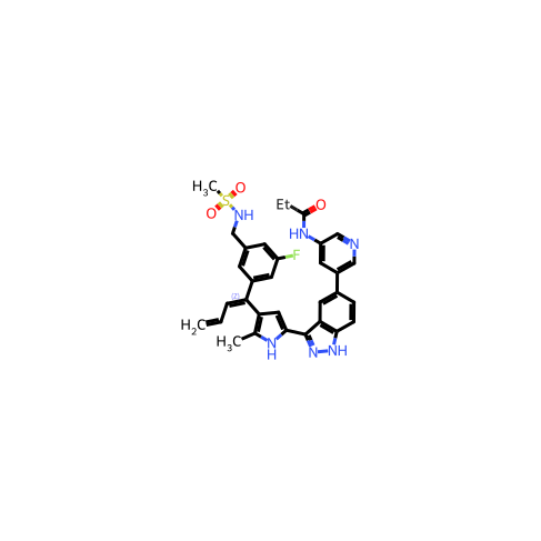 C=C/C=C(/c1cc(F)cc(CNS(C)(=O)=O)c1)c1cc(-c2n[nH]c3ccc(-c4cncc(NC(=O)CC)c4)cc23)[nH]c1C